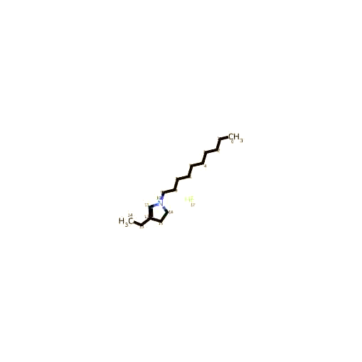 CCCCCCCCCCN1C=C(CC)CC1.F